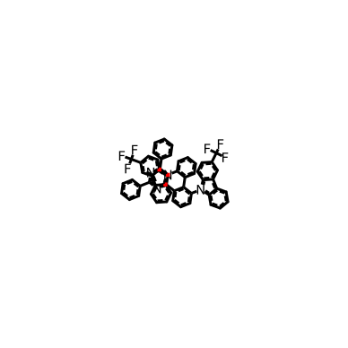 FC(F)(F)c1ccc2c(c1)c1ccccc1n2-c1ccccc1-c1c(-c2cc(-c3ccccc3)nc(-c3ccccc3)n2)cccc1-n1c2ccccc2c2cc(C(F)(F)F)ccc21